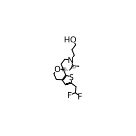 C[C@H]1C[C@@]2(CCN1CCCO)OCCc1cc(CC(F)F)sc12